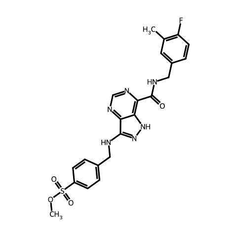 COS(=O)(=O)c1ccc(CNc2n[nH]c3c(C(=O)NCc4ccc(F)c(C)c4)ncnc23)cc1